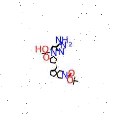 CC(C)(C)OC(=O)N1CCC2(CCC=C2C[C@@H]2CC(OC(C)(C)O)[C@H](n3ccc4c(N)ncnc43)C2)CC1